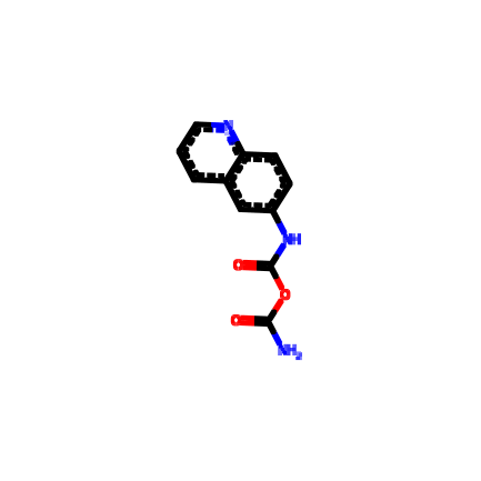 NC(=O)OC(=O)Nc1ccc2ncccc2c1